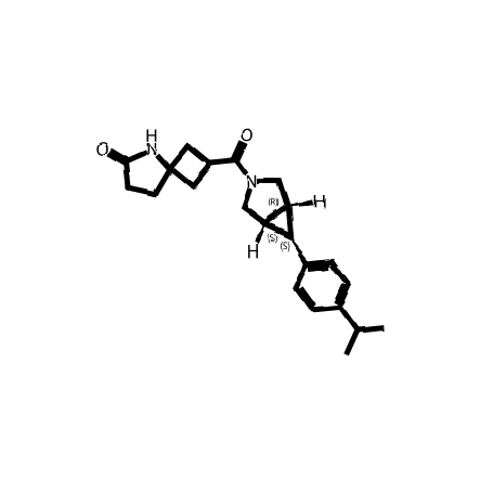 CC(C)c1ccc([C@H]2[C@@H]3CN(C(=O)C4CC5(CCC(=O)N5)C4)C[C@@H]32)cc1